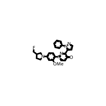 COc1cc(N2CCC(CF)C2)ccc1-n1ccc(=O)c(-c2ccnn2-c2ccccc2)n1